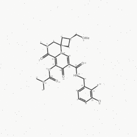 COC[C@H]1C[C@@]2(CN(C)C(=O)c3c(OC(=O)N(C)C)c(=O)c(C(=O)NCc4cccc(Cl)c4F)cn32)C1